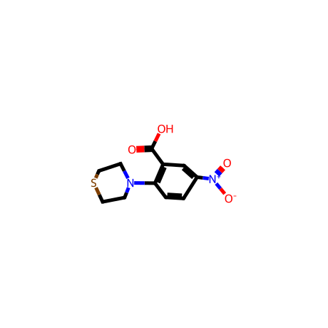 O=C(O)c1cc([N+](=O)[O-])ccc1N1CCSCC1